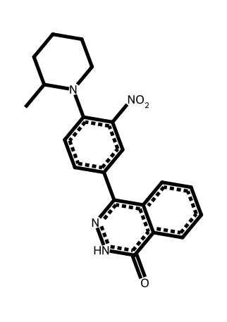 CC1CCCCN1c1ccc(-c2n[nH]c(=O)c3ccccc23)cc1[N+](=O)[O-]